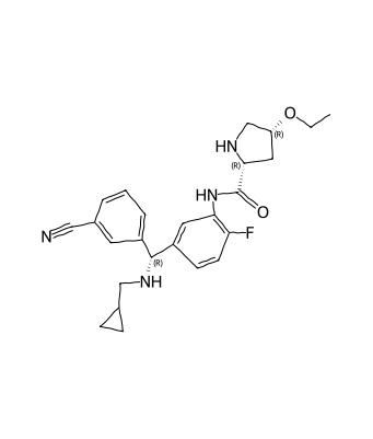 CCO[C@H]1CN[C@@H](C(=O)Nc2cc([C@H](NCC3CC3)c3cccc(C#N)c3)ccc2F)C1